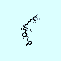 C[C@@H](NS(=O)(=O)CCCCCN1CC(=O)NC1=O)c1ccc(F)c(OCN2CCCC2=O)c1